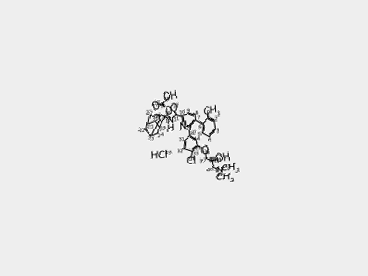 Cc1ccccc1-c1ccc(C(=O)NC2(OC(=O)O)C3CC4CC(C3)CC2C4)nc1-c1ccc(Cl)c(OC[C@@H](O)CN(C)C)c1.Cl